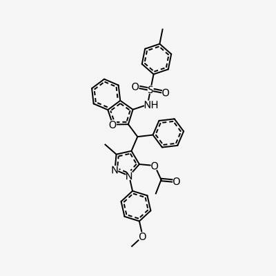 COc1ccc(-n2nc(C)c(C(c3ccccc3)c3oc4ccccc4c3NS(=O)(=O)c3ccc(C)cc3)c2OC(C)=O)cc1